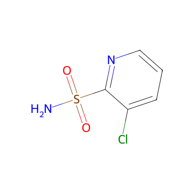 NS(=O)(=O)c1ncccc1Cl